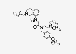 CCN1CCc2cccc(NCC(=O)N(CCN(C)C)Cc3ccc(OC)cc3)c2C1